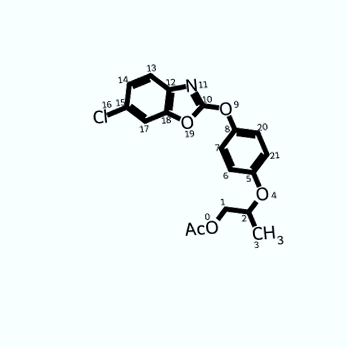 CC(=O)OCC(C)Oc1ccc(Oc2nc3ccc(Cl)cc3o2)cc1